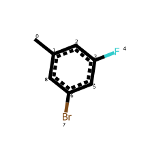 Cc1cc(F)[c]c(Br)c1